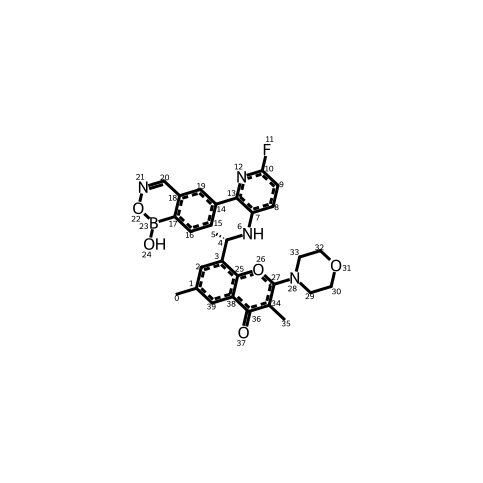 Cc1cc([C@H](C)Nc2ccc(F)nc2-c2ccc3c(c2)C=NOB3O)c2oc(N3CCOCC3)c(C)c(=O)c2c1